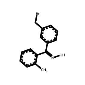 Cc1ccccc1C(=NO)c1cccc(CBr)c1